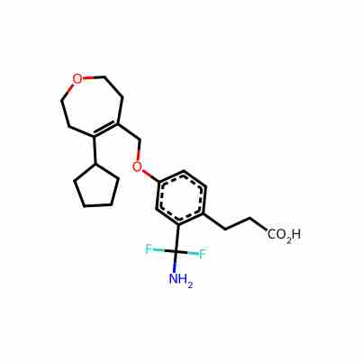 NC(F)(F)c1cc(OCC2=C(C3CCCC3)CCOCC2)ccc1CCC(=O)O